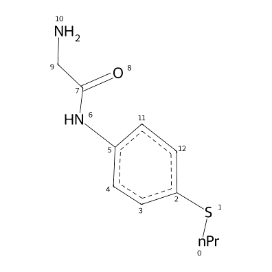 CCCSc1ccc(NC(=O)CN)cc1